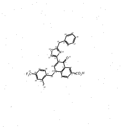 O=C(O)c1ccc2c(c1)c(=O)c(-c1noc(Cc3ccccc3)n1)cn2Cc1ccc(C(F)(F)F)cc1F